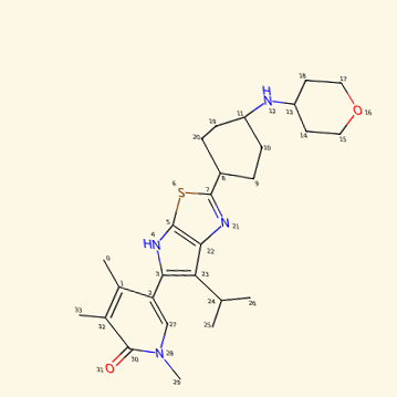 Cc1c(-c2[nH]c3sc(C4CCC(NC5CCOCC5)CC4)nc3c2C(C)C)cn(C)c(=O)c1C